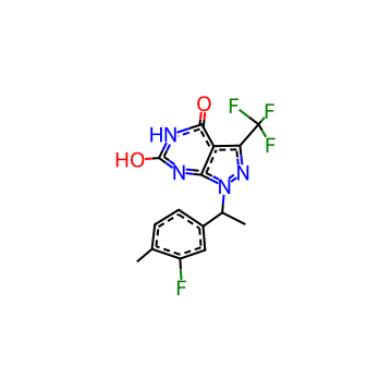 Cc1ccc(C(C)n2nc(C(F)(F)F)c3c(=O)[nH]c(O)nc32)cc1F